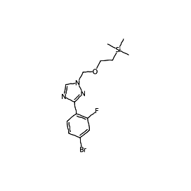 C[Si](C)(C)CCOCn1cnc(-c2ccc(Br)cc2F)n1